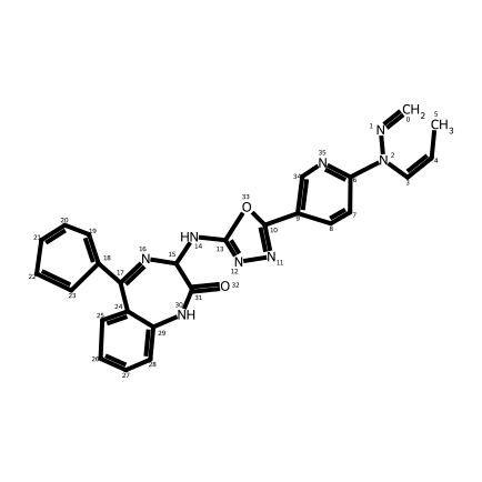 C=NN(/C=C\C)c1ccc(-c2nnc(NC3N=C(c4ccccc4)c4ccccc4NC3=O)o2)cn1